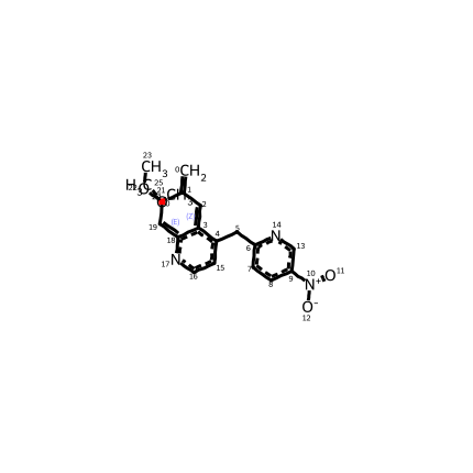 C=C(/C=c1/c(Cc2ccc([N+](=O)[O-])cn2)ccn/c1=C/C(C)OC)OC